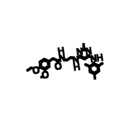 CCOc1ccc(CC(=O)NCCNc2cc(Nc3c(C)cc(C)cc3C)nc(C)n2)cc1OC